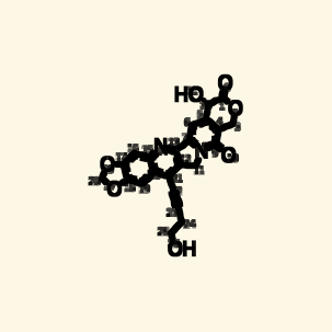 O=C1OCc2c(cc3n(c2=O)Cc2c-3nc3cc4c(cc3c2C#CCCO)OCO4)[C@@H]1O